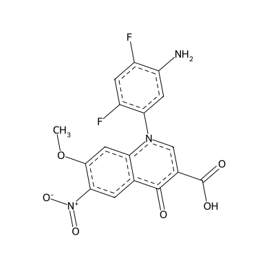 COc1cc2c(cc1[N+](=O)[O-])c(=O)c(C(=O)O)cn2-c1cc(N)c(F)cc1F